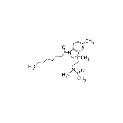 CCCCCCCC(=O)N1CC(C)(CCN(C)C(C)=O)c2cc(C)ccc21